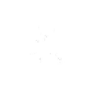 CN(C(=S)NS)[C@H](CCC(N)=O)C(=O)O